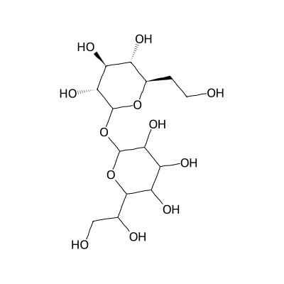 OCC[C@H]1OC(OC2OC(C(O)CO)C(O)C(O)C2O)[C@H](O)[C@@H](O)[C@@H]1O